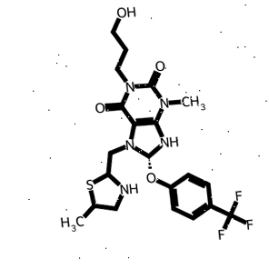 CC1CNC(CN2c3c(n(C)c(=O)n(CCCO)c3=O)N[C@@H]2Oc2ccc(C(F)(F)F)cc2)S1